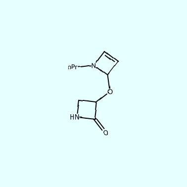 CCCN1C=CC1OC1CNC1=O